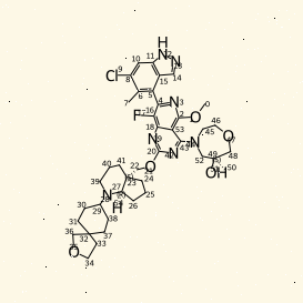 COc1nc(-c2c(C)c(Cl)cc3[nH]ncc23)c(F)c2nc(OC[C@]34CCC[C@H]3N(C3CCC5(CCOC5)CC3)CCC4)nc(N3CCOC[C@@](C)(O)C3)c12